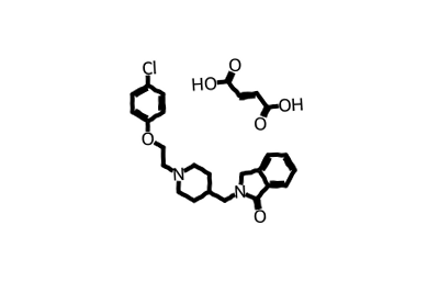 O=C(O)C=CC(=O)O.O=C1c2ccccc2CN1CC1CCN(CCOc2ccc(Cl)cc2)CC1